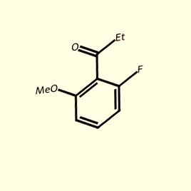 CCC(=O)c1c(F)cccc1OC